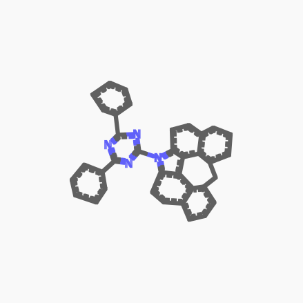 c1ccc(-c2nc(-c3ccccc3)nc(-n3c4ccc5cccc6c5c4c4c5c(cccc5ccc43)C6)n2)cc1